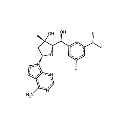 C[C@]1(O)C[C@H](n2ccc3c(N)ncnc32)O[C@@H]1[C@@H](O)c1cc(F)cc(C(F)F)c1